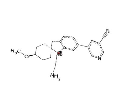 CO[C@H]1CC[C@]2(CC1)Cc1ccc(-c3cncc(C#N)c3)cc1C21COC(N)=N1